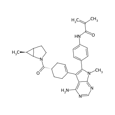 C=C(C)C(=O)Nc1ccc(-c2c(C3=CC[C@@H](C(=O)N4CCC5C4[C@H]5C)CC3)c3c(N)ncnc3n2C)cc1